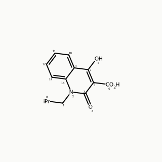 CC(C)Cn1c(=O)c(C(=O)O)c(O)c2ccccc21